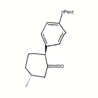 CCCCCc1ccc([C@@H]2CC[C@@H](C)CC2=O)cc1